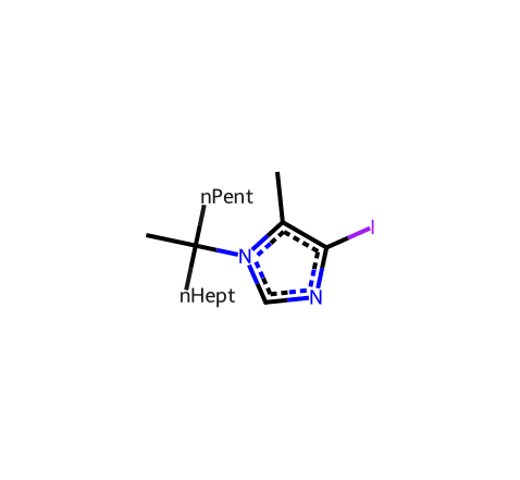 CCCCCCCC(C)(CCCCC)n1cnc(I)c1C